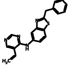 C=Cc1cncnc1Nc1ccc2sc(Cc3ccccc3)nc2c1